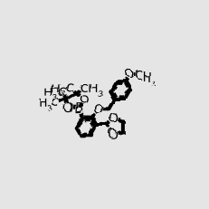 COc1ccc(COc2c(B3OC(C)(C)C(C)(C)O3)cccc2C2OCCO2)cc1